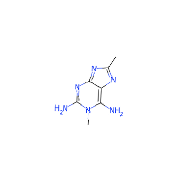 Cc1nc2nc(N)n(C)c(N)c-2n1